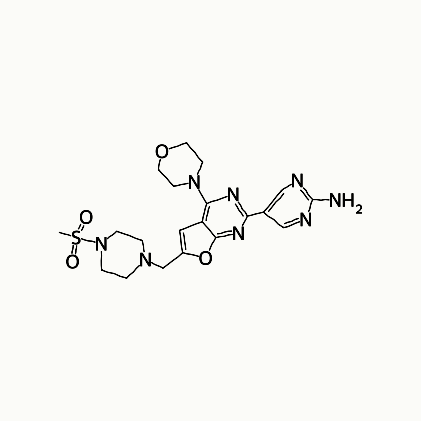 CS(=O)(=O)N1CCN(Cc2cc3c(N4CCOCC4)nc(-c4cnc(N)nc4)nc3o2)CC1